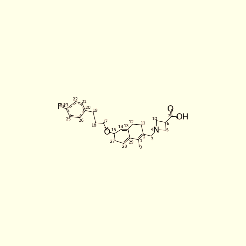 CC1=C(CN2CC(C(=O)O)C2)CCC2=CC(OCCCc3ccc(F)cc3)CC=C21